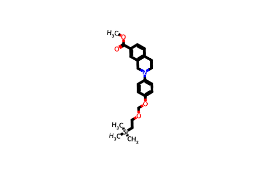 COC(=O)c1ccc2c(c1)CN(c1ccc(OCOCC[Si](C)(C)C)cc1)CC2